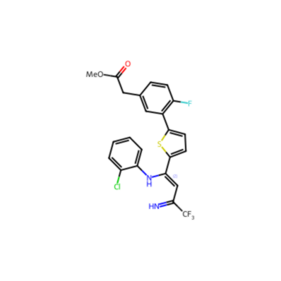 COC(=O)Cc1ccc(F)c(-c2ccc(/C(=C/C(=N)C(F)(F)F)Nc3ccccc3Cl)s2)c1